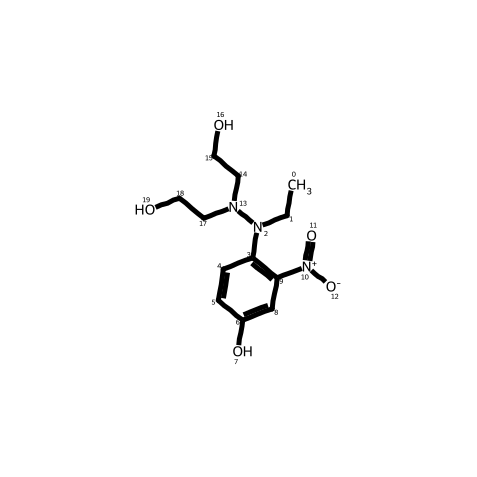 CCN(c1ccc(O)cc1[N+](=O)[O-])N(CCO)CCO